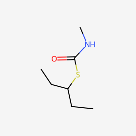 CCC(CC)SC(=O)NC